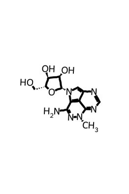 CN1N=C(N)c2c3c1ncnc3cn2[C@@H]1O[C@H](CO)[C@@H](O)[C@H]1O